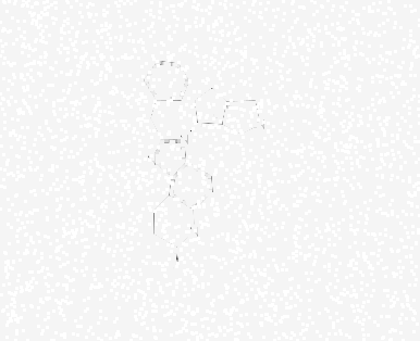 C[C@H]1CCc2c(ccc3c2nc(Cc2ccccc2)n3[C@H]2CC[C@H]3CNC[C@H]32)N1